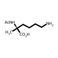 CC(=O)N[C@@](C)(CCCCN)C(=O)O